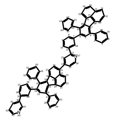 c1ccc(-c2cc(-c3cccc(-c4cc(-c5ccc6c7c(cccc57)-c5c(-c7ccccc7)cc(-c7cccc(-c8cccnc8)c7)c(-c7ccccc7)c5-6)ccn4)c3)c(-c3ccccc3)c3c2-c2cccc4cccc-3c24)cc1